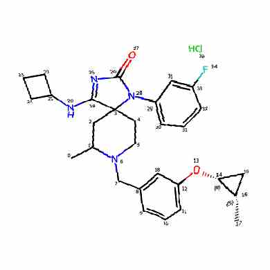 CC1CC2(CCN1Cc1cccc(O[C@@H]3C[C@@H]3C)c1)C(NC1CCC1)=NC(=O)N2c1cccc(F)c1.Cl